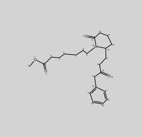 COC(=O)CCCCCCN1C(=O)CCCC1CCC(=O)Cc1ccccc1